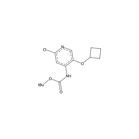 CC(C)(C)OC(=O)Nc1cc(Cl)ncc1OC1CCC1